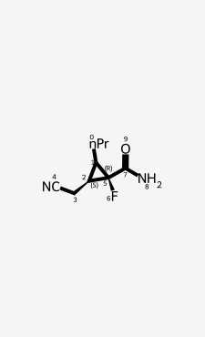 CCCC1[C@H](CC#N)[C@@]1(F)C(N)=O